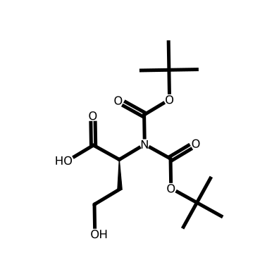 CC(C)(C)OC(=O)N(C(=O)OC(C)(C)C)[C@@H](CCO)C(=O)O